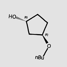 CCCCO[C@@H]1CC[C@@H](O)C1